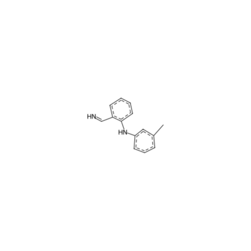 Cc1cccc(Nc2ccccc2C=N)c1